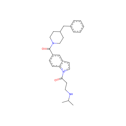 CC(C)NCCC(=O)n1ccc2cc(C(=O)N3CCC(Cc4ccccc4)CC3)ccc21